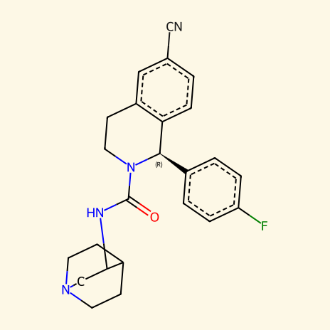 N#Cc1ccc2c(c1)CCN(C(=O)NC1CN3CCC1CC3)[C@@H]2c1ccc(F)cc1